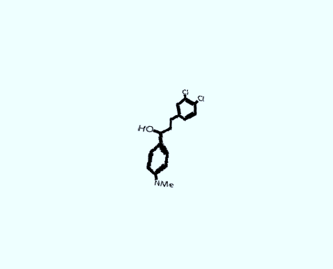 [C]Nc1ccc(C(O)CCc2ccc(Cl)c(Cl)c2)cc1